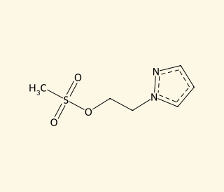 CS(=O)(=O)OCCn1cccn1